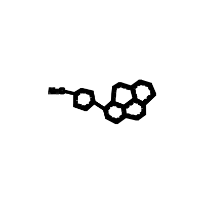 COc1ccc(-c2ccc3ccc4cccc5ccc2c3c45)cc1